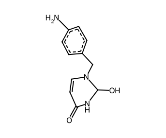 Nc1ccc(CN2C=CC(=O)NC2O)cc1